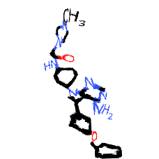 CN1CCN(CC(=O)NC2CCC(n3cc(-c4cccc(OCc5ccccc5)c4)c4c(N)ncnc43)CC2)CC1